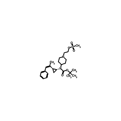 CC(=Cc1ccccc1)[C@@H]1C[C@H]1N(C(=O)OC(C)(C)C)C1CCN(CCOS(C)(=O)=O)CC1